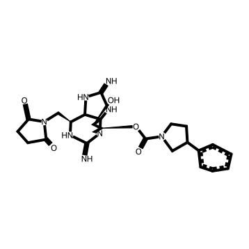 N=C1NC2[C@H](CN3C(=O)CCC3=O)NC(=N)N3C[C@H](OC(=O)N4CCC(c5ccccc5)C4)[C@@H](O)C23N1